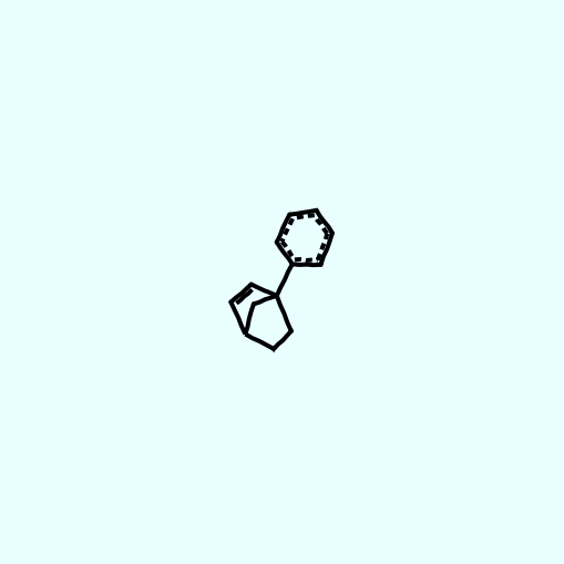 [CH]1CC2(c3ccccc3)C=CC1C2